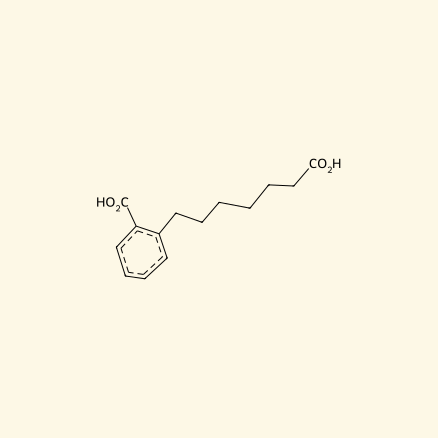 O=C(O)CCCCCCc1ccccc1C(=O)O